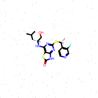 CC(C)C[C@H](CO)Nc1nc(S[C@H](C)c2ccncc2F)nc2[nH]c(=O)sc12